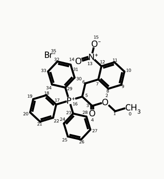 CCOC(=O)C(Cc1ccccc1[N+](=O)[O-])[P+](c1ccccc1)(c1ccccc1)c1ccccc1.[Br-]